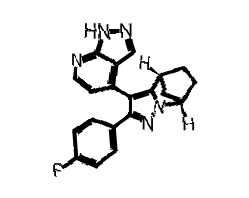 Fc1ccc(-c2nn3c(c2-c2ccnc4[nH]ncc24)[C@@H]2CC[C@H]3C2)cc1